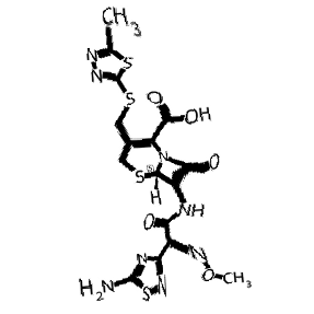 CON=C(C(=O)NC1C(=O)N2C(C(=O)O)=C(CSc3nnc(C)s3)CS[C@@H]12)c1nsc(N)n1